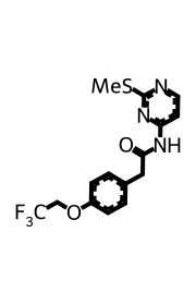 CSc1nccc(NC(=O)Cc2ccc(OCC(F)(F)F)cc2)n1